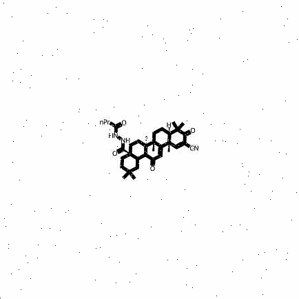 CCCC(=O)NNC(=O)[C@]12CCC(C)(C)CC1C1C(=O)C=C3[C@@]4(C)C=C(C#N)C(=O)C(C)(C)[C@@H]4CC[C@@]3(C)[C@]1(C)CC2